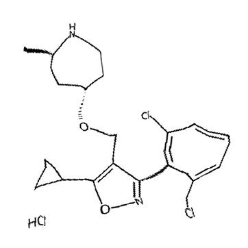 C[C@@H]1C[C@@H](OCc2c(-c3c(Cl)cccc3Cl)noc2C2CC2)CCN1.Cl